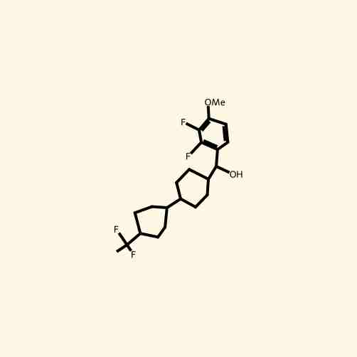 COc1ccc(C(O)C2CCC(C3CCC(C(C)(F)F)CC3)CC2)c(F)c1F